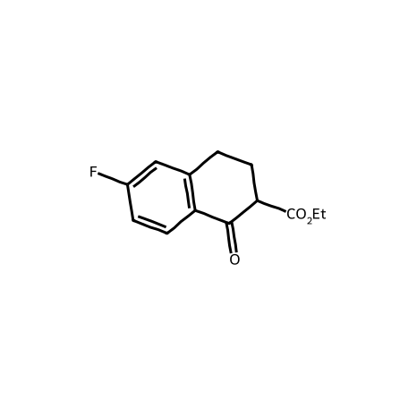 CCOC(=O)C1CCc2cc(F)ccc2C1=O